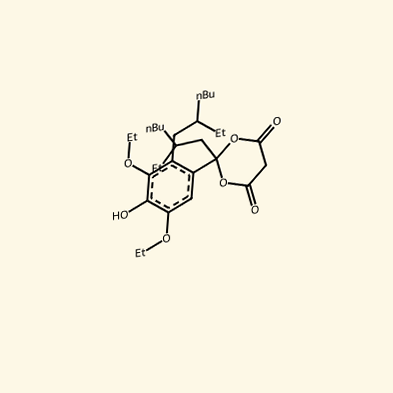 CCCCC(CC)Cc1c(C2(CC(CC)CCCC)OC(=O)CC(=O)O2)cc(OCC)c(O)c1OCC